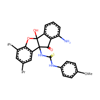 COc1ccc(NC(=S)NC23C(=O)c4c(N)cccc4C2(O)Oc2c(C(C)C)cc(C(C)C)cc23)cc1